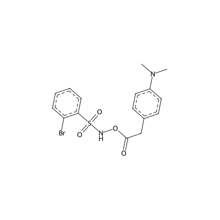 CN(C)c1ccc(CC(=O)ONS(=O)(=O)c2ccccc2Br)cc1